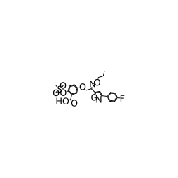 CCCON=C(COc1ccc(OS(C)(=O)=O)c(C(=O)O)c1)c1cc(-c2ccc(F)cc2)no1